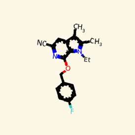 CCn1c(C)c(C)c2cc(C#N)nc(OCc3ccc(F)cc3)c21